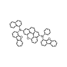 c1ccc(N(c2cc3ccc4cc(N(c5cccc6ccccc56)c5cccc6c5oc5ccccc56)cc5c4c3c3c(cccc23)O5)c2cccc3c2oc2ccccc23)cc1